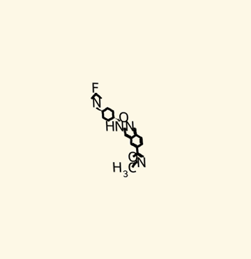 Cc1ncc(-c2ccc3cnc(NC(=O)[C@H]4CC[C@H](CN5CC(F)C5)CC4)cc3c2)o1